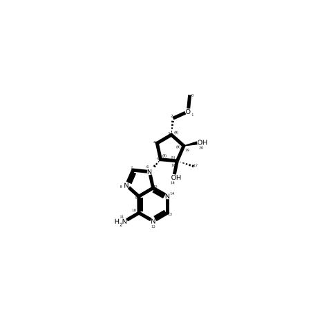 COC[C@H]1C[C@@H](n2cnc3c(N)ncnc32)[C@](C)(O)[C@@H]1O